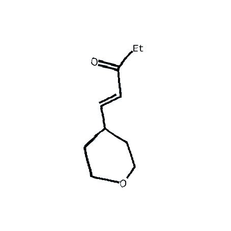 CCC(=O)C=CC1CCOCC1